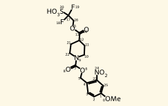 COc1ccc(COC(=O)N2CCC(C(=O)OCC(F)(F)S(=O)(=O)O)CC2)c([N+](=O)[O-])c1